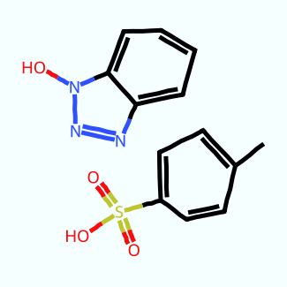 Cc1ccc(S(=O)(=O)O)cc1.On1nnc2ccccc21